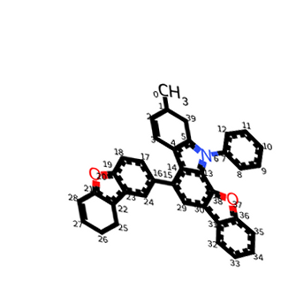 CC1C=Cc2c(n(-c3ccccc3)c3c2c(-c2ccc4oc5c(c4c2)CCC=C5)cc2c4ccccc4oc23)C1